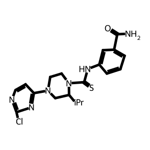 CC(C)C1CN(c2ccnc(Cl)n2)CCN1C(=S)Nc1cccc(C(N)=O)c1